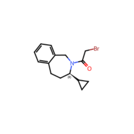 O=C(CBr)N1Cc2ccccc2CC[C@@H]1C1CC1